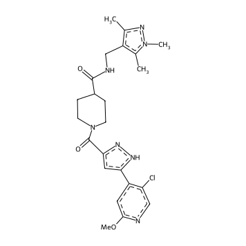 COc1cc(-c2cc(C(=O)N3CCC(C(=O)NCc4c(C)nn(C)c4C)CC3)n[nH]2)c(Cl)cn1